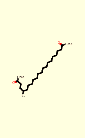 CCC(CCCCCCCCCCCCCCCC(=O)OC)CCC(=O)OC